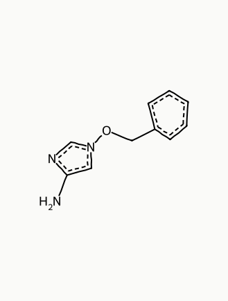 Nc1cn(OCc2ccccc2)cn1